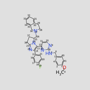 COc1ccc(CNc2nccc(-c3c(-c4ccc(F)cc4)nc4n3C(CN3CCc5ccccc5C3)CC4)n2)cc1